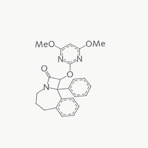 COc1cc(OC)nc(OC2C(=O)N3CCCc4ccccc4C23c2ccccc2)n1